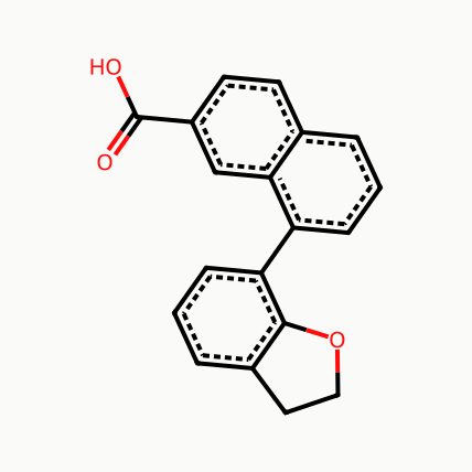 O=C(O)c1ccc2cccc(-c3cccc4c3OCC4)c2c1